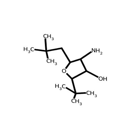 CC(C)(C)CC1OC(C(C)(C)C)C(O)C1N